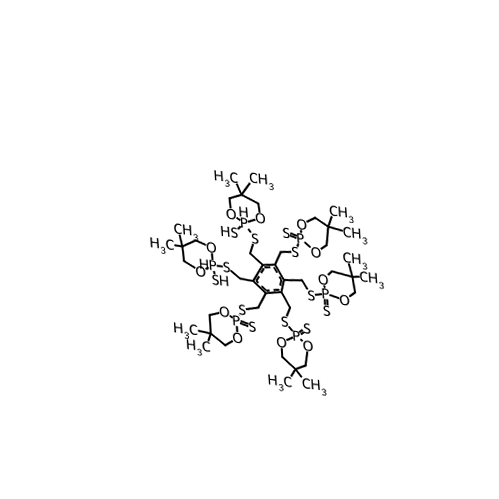 CC1(C)COP(=S)(SCc2c(CSP3(=S)OCC(C)(C)CO3)c(CSP3(=S)OCC(C)(C)CO3)c(CS[PH]3(S)OCC(C)(C)CO3)c(CS[PH]3(S)OCC(C)(C)CO3)c2CSP2(=S)OCC(C)(C)CO2)OC1